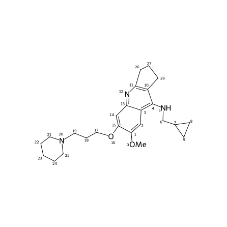 COc1cc2c(NCC3CC3)c3c(nc2cc1OCCCN1CCCCC1)CCC3